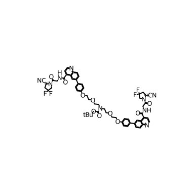 CC(C)(C)OC(=O)N(CCOCCOc1ccc(-c2ccc3nccc(C(=O)NCC(=O)N4CC(F)(F)C[C@H]4C#N)c3c2)cc1)CCOCCOc1ccc(-c2ccc3nccc(C(=O)NCC(=O)N4CC(F)(F)C[C@H]4C#N)c3c2)cc1